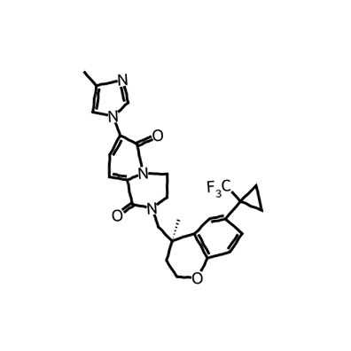 Cc1cn(-c2ccc3n(c2=O)CCN(C[C@]2(C)CCOc4ccc(C5(C(F)(F)F)CC5)cc42)C3=O)cn1